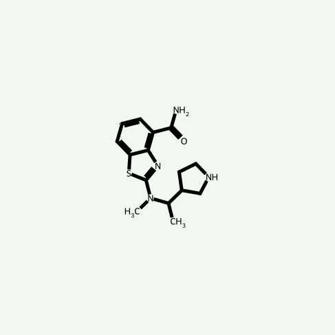 CC(C1CCNC1)N(C)c1nc2c(C(N)=O)c[c]cc2s1